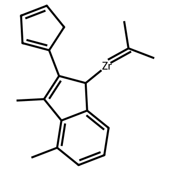 C[C](C)=[Zr][CH]1C(C2=CC=CC2)=C(C)c2c(C)cccc21